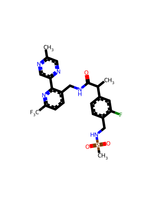 Cc1cnc(-c2nc(C(F)(F)F)ccc2CNC(=O)C(C)c2ccc(CNS(C)(=O)=O)c(F)c2)cn1